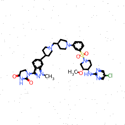 CO[C@@H]1CN(S(=O)(=O)c2cccc(N3CCC(CN4CCC(c5ccc6c(N7CCC(=O)NC7=O)nn(C)c6c5)CC4)CC3)c2)CC[C@H]1Nc1ncc(Cl)cn1